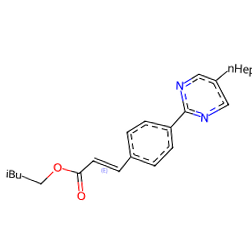 CCCCCCCc1cnc(-c2ccc(/C=C/C(=O)OCC(C)CC)cc2)nc1